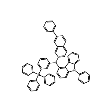 c1ccc(-c2ccc3ccc(N(c4cccc([Si](c5ccccc5)(c5ccccc5)c5ccccc5)c4)c4cccc5c4c4ccccc4n5-c4ccccc4)cc3c2)cc1